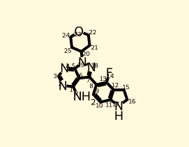 Nc1ncnc2c1c(-c1ccc3c(c1F)CCN3)nn2C1CCOCC1